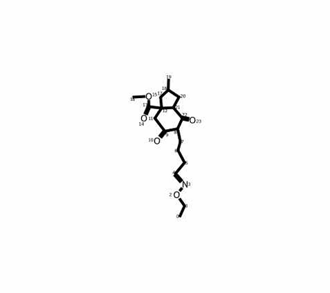 CCON=CCCCC1C(=O)CC2(C(=O)OC)CC(C)CC2C1=O